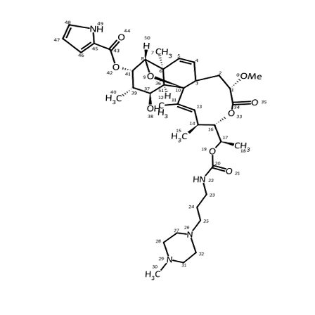 CO[C@H]1CC2C=C[C@]3(C)[C@@H]4O[C@@]2(/C(C)=C/[C@H](C)[C@@H]([C@@H](C)OC(=O)NCCCN2CCN(C)CC2)OC1=O)[C@H]3[C@@H](O)[C@H](C)[C@@H]4OC(=O)c1ccc[nH]1